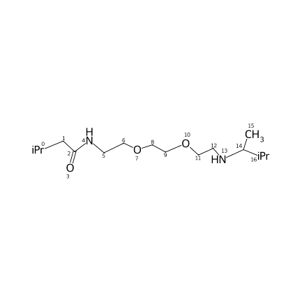 CC(C)CC(=O)NCCOCCOCCNC(C)C(C)C